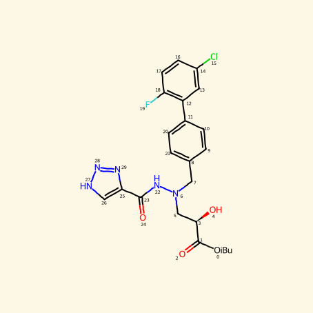 CC(C)COC(=O)[C@H](O)CN(Cc1ccc(-c2cc(Cl)ccc2F)cc1)NC(=O)c1c[nH]nn1